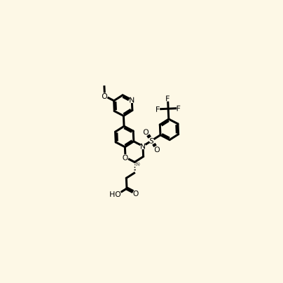 COc1cncc(-c2ccc3c(c2)N(S(=O)(=O)c2cccc(C(F)(F)F)c2)C[C@H](CCC(=O)O)O3)c1